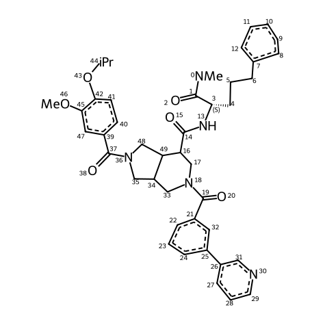 CNC(=O)[C@H](CCCc1ccccc1)NC(=O)C1CN(C(=O)c2cccc(-c3cccnc3)c2)CC2CN(C(=O)c3ccc(OC(C)C)c(OC)c3)CC21